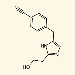 N#Cc1ccc(Cc2cnc(CCO)[nH]2)cc1